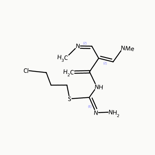 C=C(N/C(=N\N)SCCCCl)C(/C=N\C)=C/NC